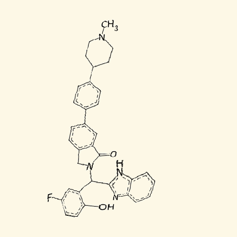 CN1CCC(c2ccc(-c3ccc4c(c3)C(=O)N(C(c3nc5ccccc5[nH]3)c3cc(F)ccc3O)C4)cc2)CC1